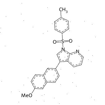 COc1ccc2cc(-c3cn(S(=O)(=O)c4ccc(C)cc4)c4ncccc34)ccc2c1